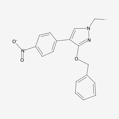 [CH2]Cn1cc(-c2ccc([N+](=O)[O-])cc2)c(OCc2ccccc2)n1